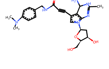 CC1=Nc2c(c(C#CC(=O)NCc3ccc(N(C)C)cc3)cn2[C@H]2C[C@@H](O)[C@@H](CO)O2)C(N)N1